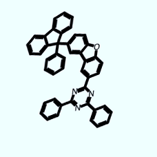 c1ccc(-c2nc(-c3ccccc3)nc(-c3ccc4oc5ccc(C6(c7ccccc7)c7ccccc7-c7ccccc76)cc5c4c3)n2)cc1